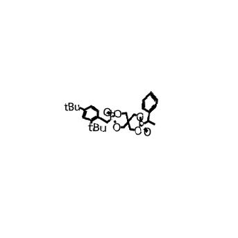 CC(c1ccccc1)P1(=O)OCC2(COP(=O)(Cc3ccc(C(C)(C)C)cc3C(C)(C)C)OC2)CO1